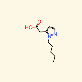 CCCCCn1nccc1CC(=O)O